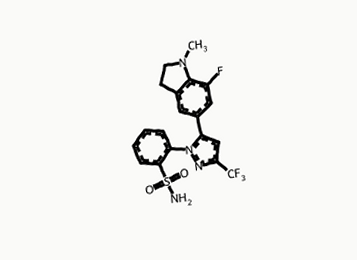 CN1CCc2cc(-c3cc(C(F)(F)F)nn3-c3ccccc3S(N)(=O)=O)cc(F)c21